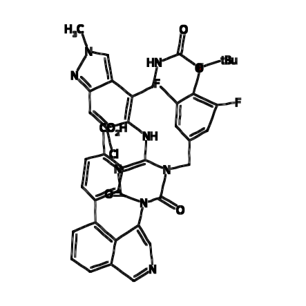 Cn1cc2c(CNC(=O)OC(C)(C)C)c(Nc3nc(=O)n(-c4cncc5cccc(-c6ccc(C(=O)O)cc6)c45)c(=O)n3Cc3cc(F)c(F)c(F)c3)c(Cl)cc2n1